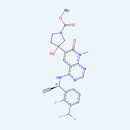 C#C[C@@H](Nc1ncnc2c1cc(C1(O)CCN(C(=O)OC(C)(C)C)C1)c(=O)n2C)c1cccc(C(F)F)c1F